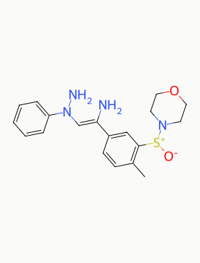 Cc1ccc(/C(N)=C/N(N)c2ccccc2)cc1[S+]([O-])N1CCOCC1